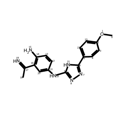 COc1ccc(-c2nnc(Nc3ccc(N)c(C(C)=N)c3)[nH]2)cc1